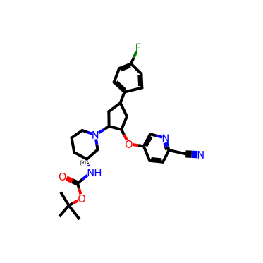 CC(C)(C)OC(=O)N[C@@H]1CCCN(C2CC(c3ccc(F)cc3)CC2Oc2ccc(C#N)nc2)C1